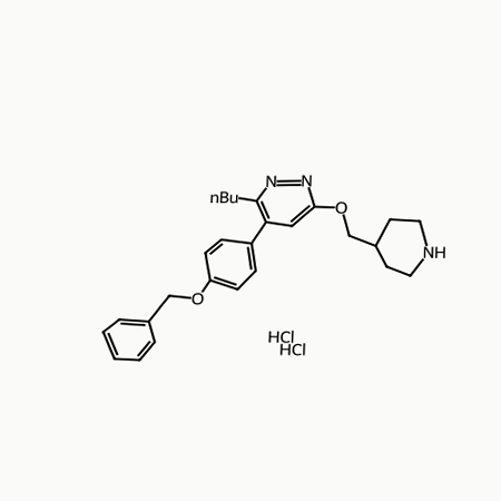 CCCCc1nnc(OCC2CCNCC2)cc1-c1ccc(OCc2ccccc2)cc1.Cl.Cl